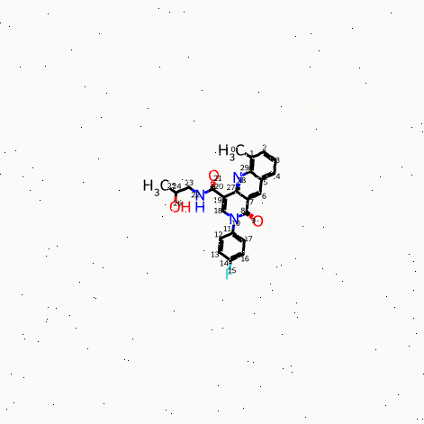 Cc1cccc2cc3c(=O)n(-c4ccc(F)cc4)cc(C(=O)NCC(C)O)c3nc12